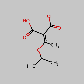 CC(OC(C)C)=C(C(=O)O)C(=O)O